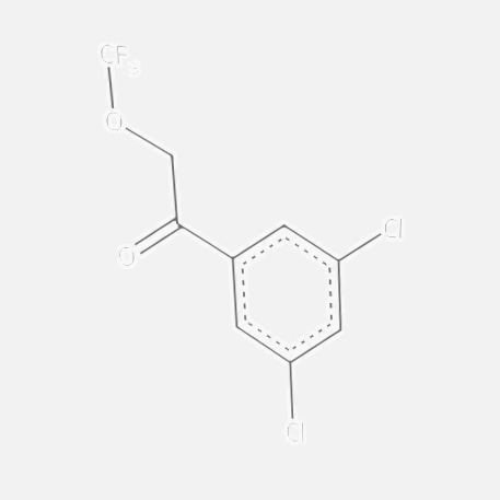 O=C(COC(F)(F)F)c1cc(Cl)cc(Cl)c1